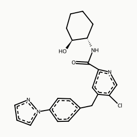 O=C(N[C@H]1CCCC[C@@H]1O)c1cc(Cc2ccc(-n3cccn3)cc2)c(Cl)cn1